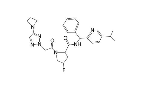 CC(C)c1ccc(C(NC(=O)C2CC(F)CN2C(=O)Cn2ncc(N3CCC3)n2)c2ccccc2)nc1